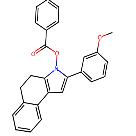 COc1cccc(-c2cc3c(n2OC(=O)c2ccccc2)CCc2ccccc2-3)c1